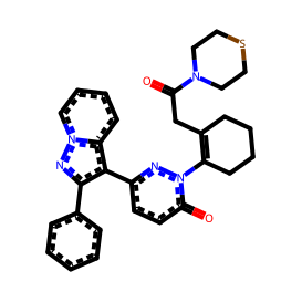 O=C(CC1=C(n2nc(-c3c(-c4ccccc4)nn4ccccc34)ccc2=O)CCCC1)N1CCSCC1